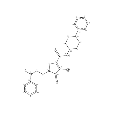 CN(CCN1CC(C(=O)NC2CCC(c3ccccc3)CC2)=C(O)C1=O)c1ccccc1